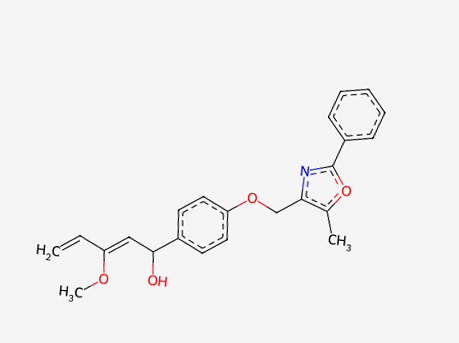 C=CC(=CC(O)c1ccc(OCc2nc(-c3ccccc3)oc2C)cc1)OC